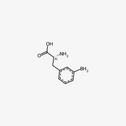 Bc1cccc(C[C@@H](N)C(=O)O)c1